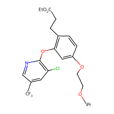 CCOC(=O)CCc1ccc(OCCOC(C)C)cc1Oc1ncc(C(F)(F)F)cc1Cl